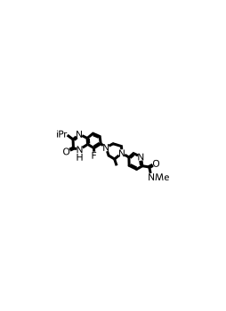 CNC(=O)c1ccc(N2CCN(c3ccc4nc(C(C)C)c(=O)[nH]c4c3F)CC2C)cn1